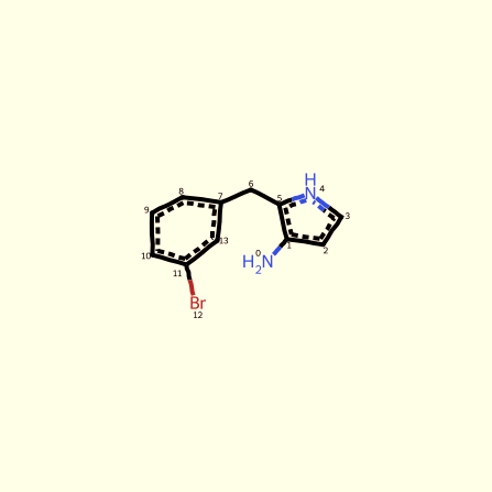 Nc1cc[nH]c1Cc1cccc(Br)c1